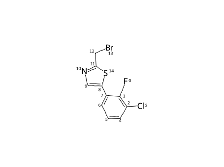 Fc1c(Cl)cccc1-c1cnc(CBr)s1